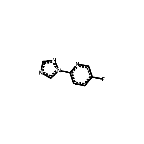 Fc1ccc(-n2cncn2)nc1